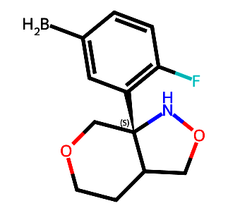 Bc1ccc(F)c([C@]23COCCC2CON3)c1